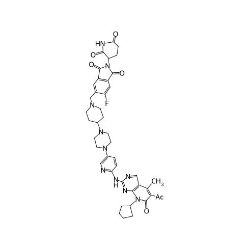 CC(=O)c1c(C)c2cnc(Nc3ccc(N4CCN(C5CCN(Cc6cc7c(cc6F)C(=O)N(C6CCC(=O)NC6=O)C7=O)CC5)CC4)cn3)nc2n(C2CCCC2)c1=O